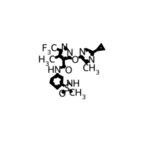 Cc1nc(C2CC2)cnc1Oc1nnc(C(F)(F)F)c(C)c1C(=O)Nc1cccc(S(C)(=N)=O)c1